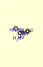 NC(=O)c1ccc(NC2CCCNC2)c2cc(-c3ccc(Cl)cc3)[nH]c12